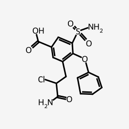 NC(=O)C(Cl)Cc1cc(C(=O)O)cc(S(N)(=O)=O)c1Oc1ccccc1